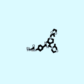 CCNC(=O)Nc1ccc(-c2nc3c(c(N4CCOCC4C)n2)CCN(CC2(C)OCCO2)C3)cc1